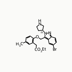 CCOC(=O)Cc1cc(C)ccc1OCc1c2cc(Br)ccc2nn1[C@H]1CCNC1